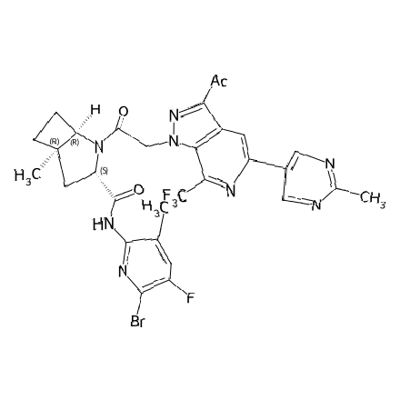 CC(=O)c1nn(CC(=O)N2[C@H](C(=O)Nc3nc(Br)c(F)cc3C)C[C@@]3(C)CC[C@@H]23)c2c(C(F)(F)F)nc(-c3cnc(C)nc3)cc12